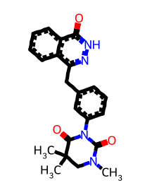 CN1CC(C)(C)C(=O)N(c2cccc(Cc3n[nH]c(=O)c4ccccc34)c2)C1=O